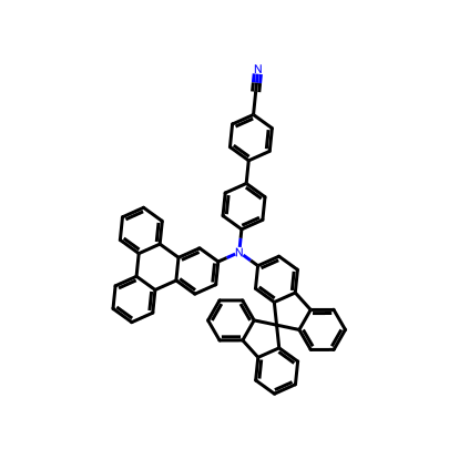 N#Cc1ccc(-c2ccc(N(c3ccc4c(c3)C3(c5ccccc5-c5ccccc53)c3ccccc3-4)c3ccc4c5ccccc5c5ccccc5c4c3)cc2)cc1